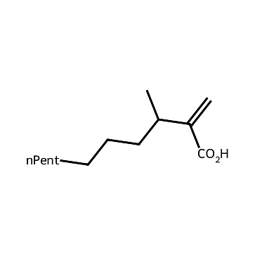 C=C(C(=O)O)C(C)CCCCCCCC